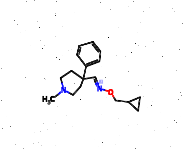 CN1CCC(/C=N/OCC2CC2)(c2ccccc2)CC1